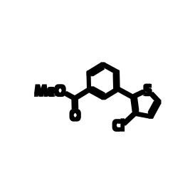 COC(=O)c1cccc(-c2sccc2Cl)c1